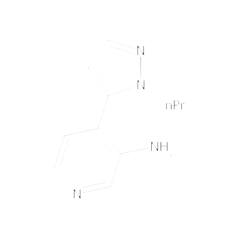 CCCn1nccc1-c1ccncc1N